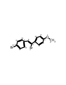 COc1ccc(C(Br)=Cc2ccc(Br)cc2)cc1